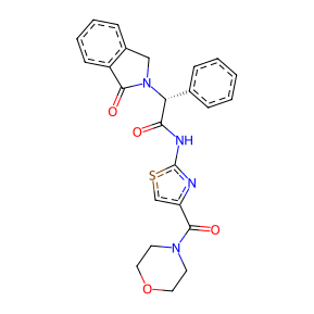 O=C(Nc1nc(C(=O)N2CCOCC2)cs1)[C@@H](c1ccccc1)N1Cc2ccccc2C1=O